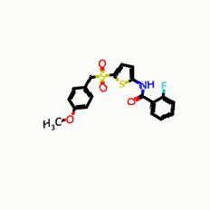 COc1ccc(CS(=O)(=O)c2ccc(NC(=O)c3ccccc3F)s2)cc1